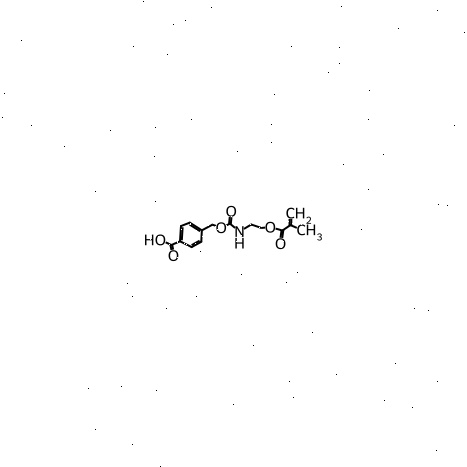 C=C(C)C(=O)OCCNC(=O)OCc1ccc(C(=O)O)cc1